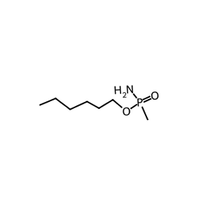 CCCCCCOP(C)(N)=O